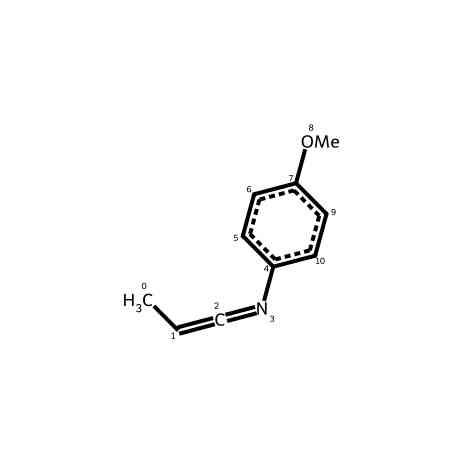 CC=C=Nc1ccc(OC)cc1